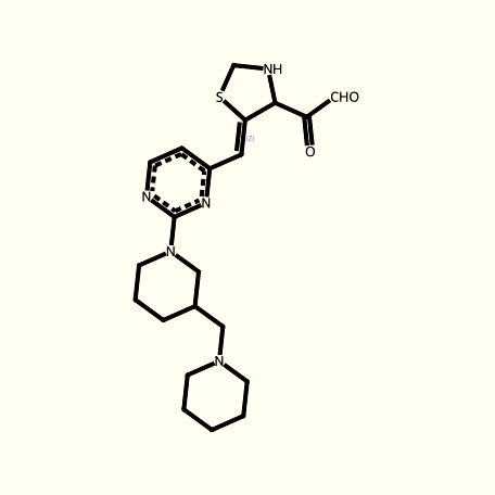 O=CC(=O)C1NCS/C1=C\c1ccnc(N2CCCC(CN3CCCCC3)C2)n1